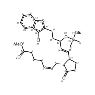 COC(=O)CCC/C=C\C[C@H]1C(=O)CC[C@@H]1/C=C/C(CCc1sc2ccccc2c1Cl)O[Si](C)(C)C(C)(C)C